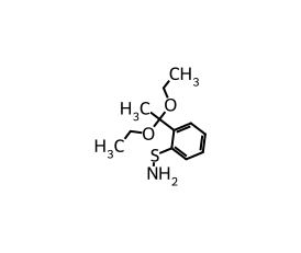 CCOC(C)(OCC)c1ccccc1SN